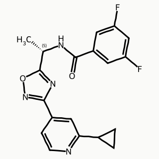 C[C@H](NC(=O)c1cc(F)cc(F)c1)c1nc(-c2ccnc(C3CC3)c2)no1